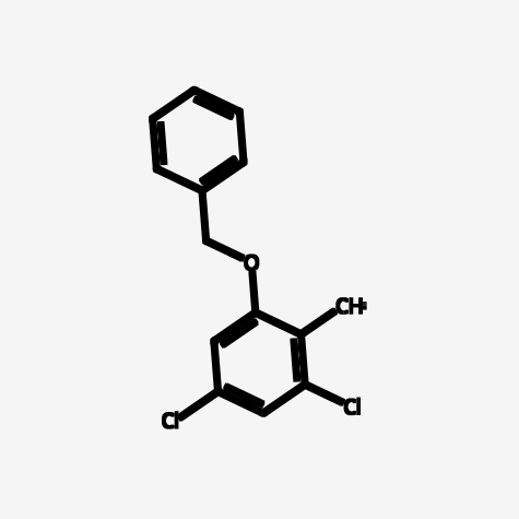 [CH]c1c(Cl)cc(Cl)cc1OCc1ccccc1